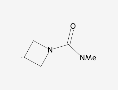 CNC(=O)N1C[CH]C1